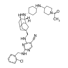 CC(=O)N1CCC(N[C@H]2CC[C@@H](N[C@@H]3[C@@H]4CC5C[C@H]3C[C@@](CNc3nc(NCc6ccccc6Cl)ncc3C#N)(C5)C4)CC2)CC1